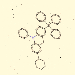 c1ccc(N2c3ccc(C4CCCCC4)cc3Cc3cc([Si](c4ccccc4)(c4ccccc4)c4ccccc4)ccc32)cc1